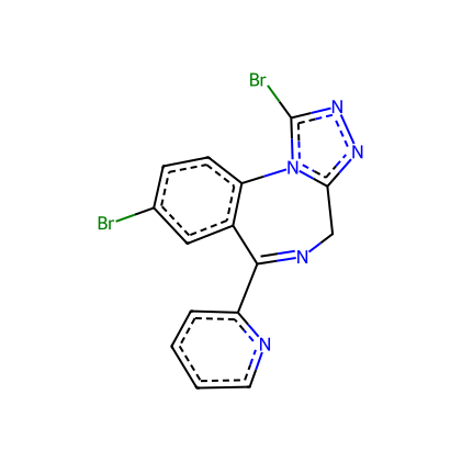 Brc1ccc2c(c1)C(c1ccccn1)=NCc1nnc(Br)n1-2